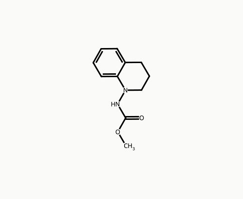 COC(=O)NN1CCCc2ccccc21